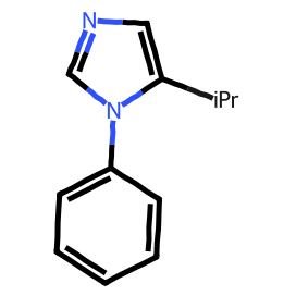 CC(C)c1cncn1-c1ccccc1